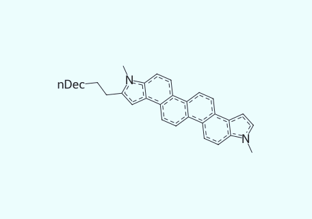 CCCCCCCCCCCCc1cc2c3ccc4c(ccc5c4ccc4c5ccn4C)c3ccc2n1C